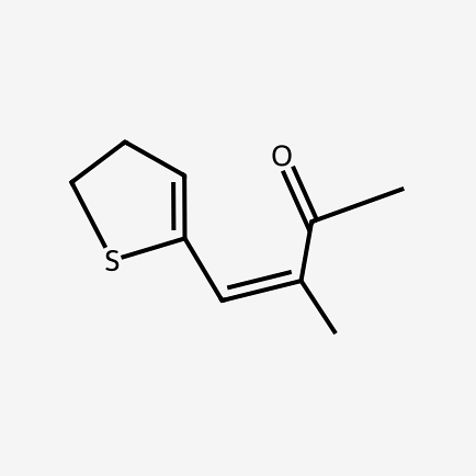 CC(=O)/C(C)=C\C1=CCCS1